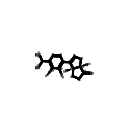 CC(O)c1ccc(C2=CC[C@H]3C(=O)CC[C@@H]23)c(F)c1F